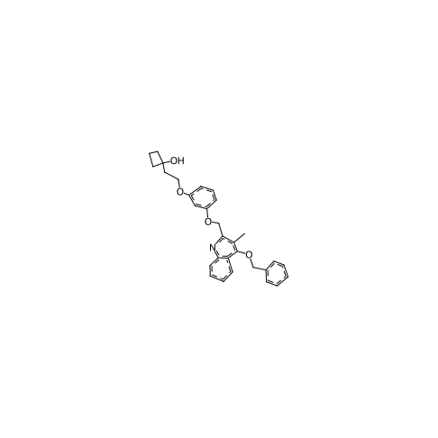 Cc1c(COc2cccc(OCCC3(O)CCC3)c2)nc2ccccc2c1OCc1ccccc1